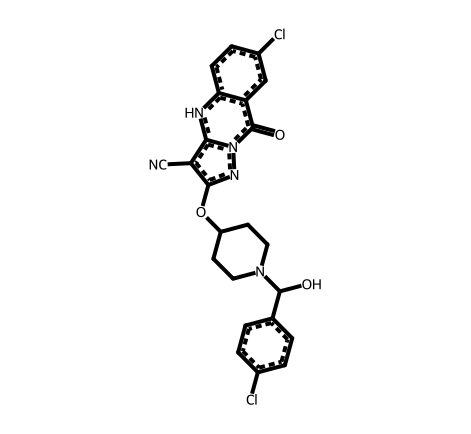 N#Cc1c(OC2CCN(C(O)c3ccc(Cl)cc3)CC2)nn2c(=O)c3cc(Cl)ccc3[nH]c12